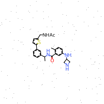 CC(=O)NCc1ccc(-c2cccc(C(C)NC(=O)c3cc(NC4CNC4)ccc3C)c2)s1